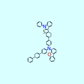 C1=CC(c2ccccc2)CC=C1c1ccc(N(c2ccc(C3=Cc4sc5c(c4CC3)c3ccccc3n5-c3ccccc3)cc2)c2cccc3c2oc2ccccc23)cc1